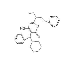 CCC(CCc1ccccc1)c1cc(O)c(C(c2ccccc2)C2CCCCC2)c(=O)o1